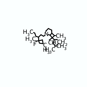 C=CC(CC(C)C)C1(CC)C(C)C2CCCN(CCC(CCC)C3(C(C)F)CC(C)C3)C21